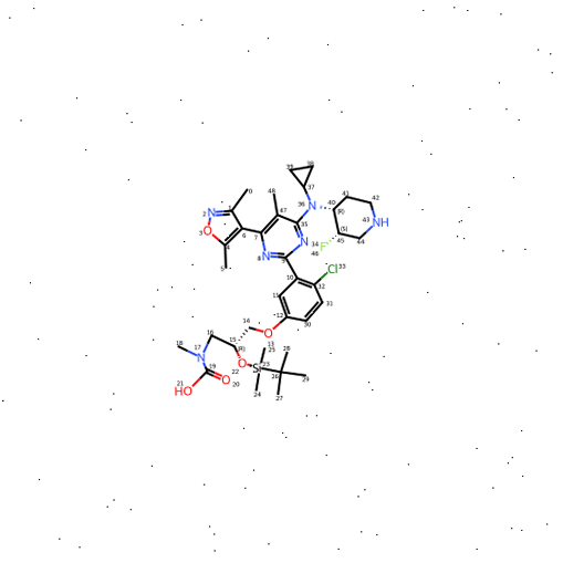 Cc1noc(C)c1-c1nc(-c2cc(OC[C@@H](CN(C)C(=O)O)O[Si](C)(C)C(C)(C)C)ccc2Cl)nc(N(C2CC2)[C@@H]2CCNC[C@@H]2F)c1C